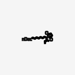 C/C=C(\C)C(CCCCCCCCCCCCCCCCC)N1C(=O)CCC1=O